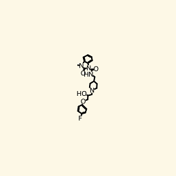 Cn1c(=O)n(C(=O)NCC2CCN(CC(O)COc3ccc(F)cc3)CC2)c2ccccc21